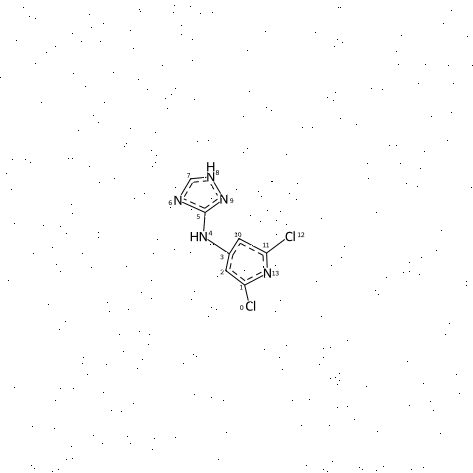 Clc1cc(Nc2nc[nH]n2)cc(Cl)n1